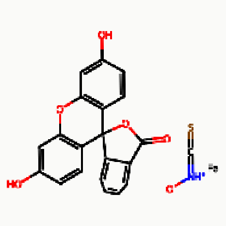 O=C1OC2(c3ccc(O)cc3Oc3cc(O)ccc32)c2ccccc21.[Fe].[O-][NH+]=C=S